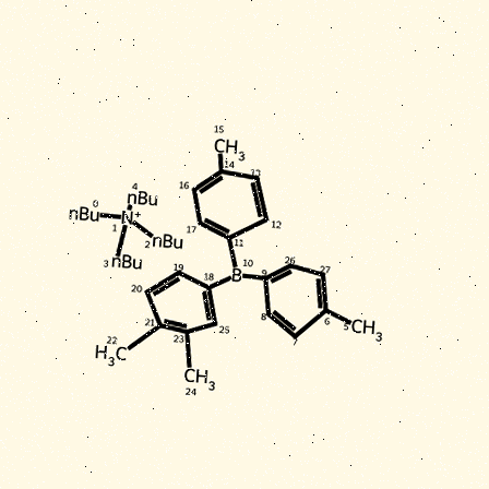 CCCC[N+](CCCC)(CCCC)CCCC.Cc1ccc(B(c2ccc(C)cc2)c2ccc(C)c(C)c2)cc1